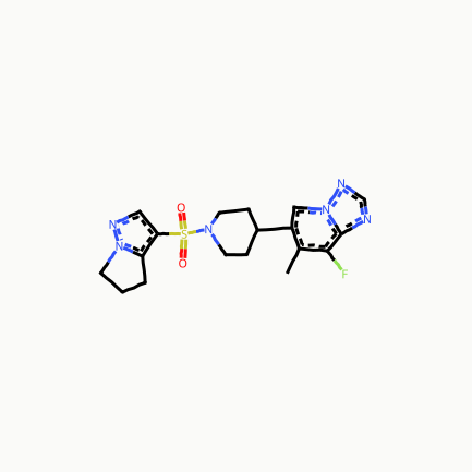 Cc1c(C2CCN(S(=O)(=O)c3cnn4c3CCC4)CC2)cn2ncnc2c1F